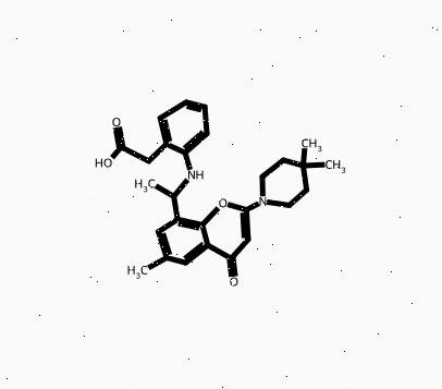 Cc1cc(C(C)Nc2ccccc2CC(=O)O)c2oc(N3CCC(C)(C)CC3)cc(=O)c2c1